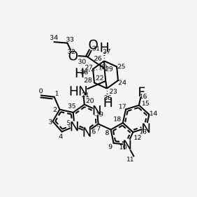 C=Cc1ccn2nc(-c3cn(C)c4ncc(F)cc34)nc(NC3[C@H]4CC[C@H](CC4)[C@@H]3C(=O)OCC)c12